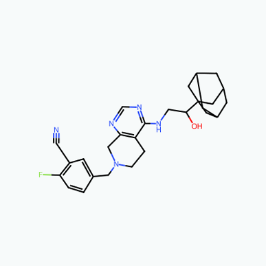 N#Cc1cc(CN2CCc3c(ncnc3NCC(O)C34CC5CC(CC(C5)C3)C4)C2)ccc1F